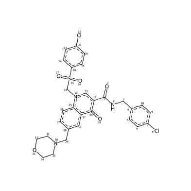 O=C(NCc1ccc(Cl)cc1)c1cn(CS(=O)(=O)c2ccc(Cl)cc2)c2ccc(CN3CCOCC3)cc2c1=O